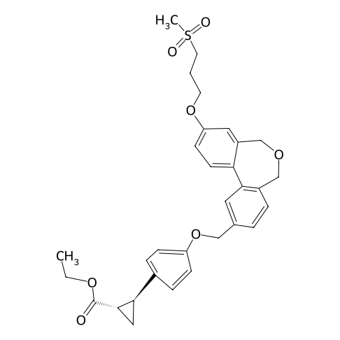 CCOC(=O)[C@H]1C[C@@H]1c1ccc(OCc2ccc3c(c2)-c2ccc(OCCCS(C)(=O)=O)cc2COC3)cc1